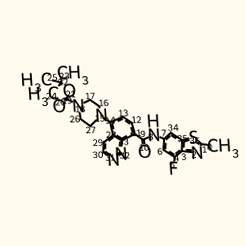 Cc1nc2c(F)cc(NC(=O)c3ccc(N4CCN(C(=O)OC(C)(C)C)CC4)c4ccnnc34)cc2s1